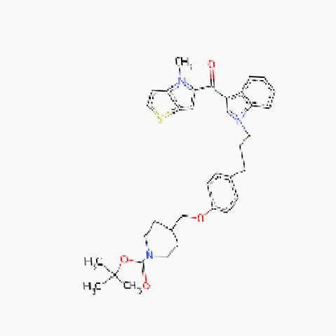 Cn1c(C(=O)c2cn(CCCc3ccc(OCC4CCN(C(=O)OC(C)(C)C)CC4)cc3)c3ccccc23)cc2sccc21